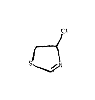 ClC1[CH]S[C]=N1